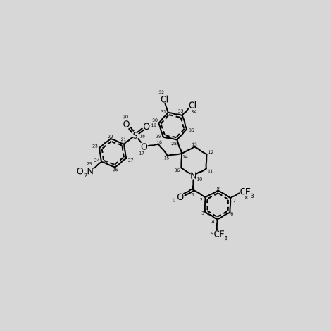 O=C(c1cc(C(F)(F)F)cc(C(F)(F)F)c1)N1CCCC(CCOS(=O)(=O)c2ccc([N+](=O)[O-])cc2)(c2ccc(Cl)c(Cl)c2)C1